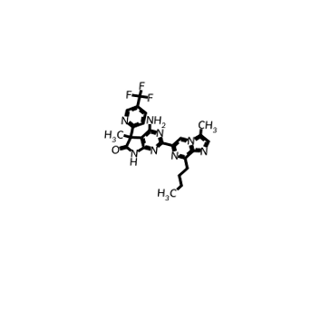 CCCCc1nc(-c2nc(N)c3c(n2)NC(=O)C3(C)c2ccc(C(F)(F)F)cn2)cn2c(C)cnc12